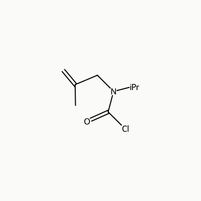 C=C(C)CN(C(=O)Cl)C(C)C